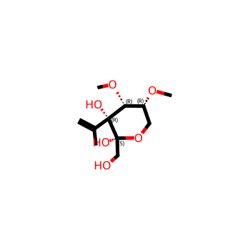 C=C(C)[C@@]1(O)[C@H](OC)[C@H](OC)CO[C@@]1(O)CO